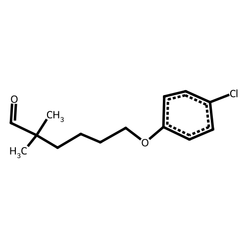 CC(C)(C=O)CCCCOc1ccc(Cl)cc1